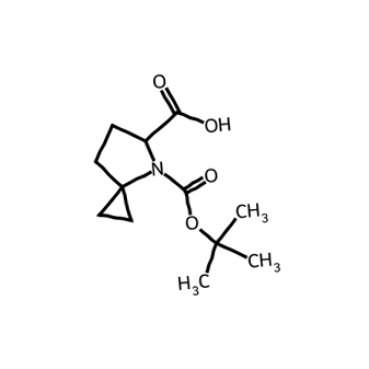 CC(C)(C)OC(=O)N1C(C(=O)O)CCC12CC2